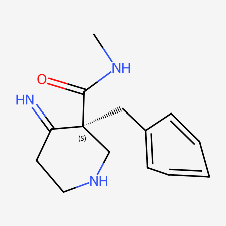 CNC(=O)[C@@]1(Cc2ccccc2)CNCCC1=N